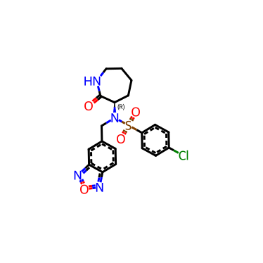 O=C1NCCCC[C@H]1N(Cc1ccc2nonc2c1)S(=O)(=O)c1ccc(Cl)cc1